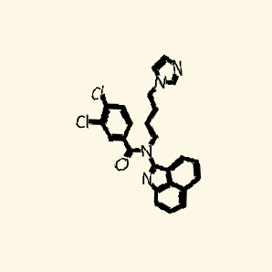 O=C(c1ccc(Cl)c(Cl)c1)N(CCCCn1ccnc1)C1=Nc2cccc3cccc1c23